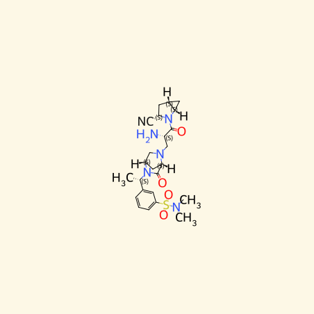 C[C@@H](c1cccc(S(=O)(=O)N(C)C)c1)N1C(=O)[C@@H]2C[C@H]1CN2C[C@H](N)C(=O)N1[C@H](C#N)C[C@@H]2C[C@@H]21